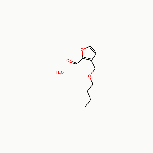 CCCCOCc1ccoc1C=O.O